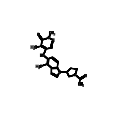 CC(=O)N1CCC(n2ccc3c(C)c(Nc4cnn(C)c(=O)c4C)ccc32)C1